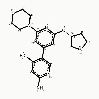 Nc1cc(C(F)(F)F)c(-c2cc(O[C@@H]3CCNC3)nc(N3CCOCC3)n2)cn1